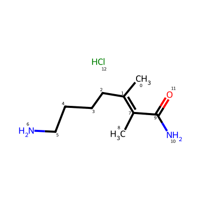 CC(CCCCN)=C(C)C(N)=O.Cl